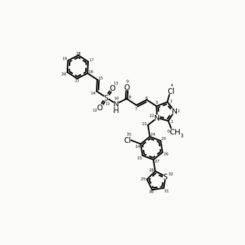 Cc1nc(Cl)c(/C=C/C(=O)NS(=O)(=O)C=Cc2ccccc2)n1Cc1ccc(-c2cccs2)cc1Cl